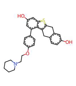 Oc1ccc2c(c1)Cc1sc3cc(O)cc(-c4ccc(OCCN5CCCCC5)cc4)c3c1C2